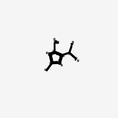 CCC(C)c1sc(C)nc1C(F)F